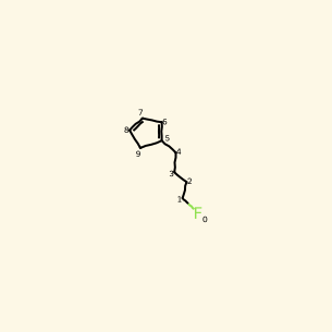 FCCCCC1=CC=CC1